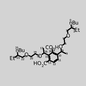 CCCCC(CC)COCCOC(C)c1ccc(C(=O)O)c(C(C)OCCOCC(CC)CCCC)c1C(=O)O